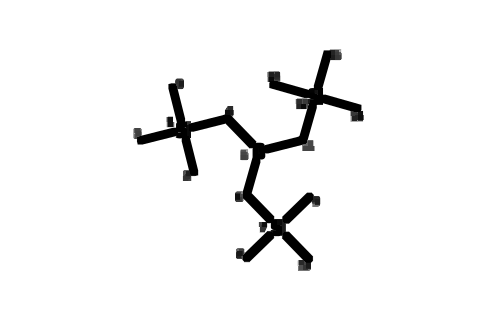 C[Si](C)(C)CB(C[Si](C)(C)C)C[Si](C)(C)C